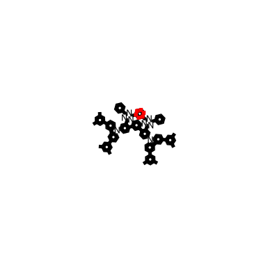 Cc1cc(C)cc(-c2ccc3c(c2)c2cc(-c4cc(C)cc(C)c4)ccc2n3-c2ccc(-c3cccc(-c4ccc(-n5c6ccc(-c7cc(C)cc(C)c7)cc6c6cc(-c7cc(C)cc(C)c7)ccc65)cc4-c4nc(-c5ccccc5)nc(-c5ccccc5)n4)c3)c(-c3nc(-c4ccccc4)nc(-c4ccccc4)n3)c2)c1